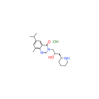 Cc1cc(C(C)C)cc2c(=O)n(CC(O)C[C@@H]3CCCCN3)cnc12.Cl